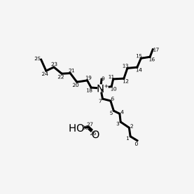 CCCCCCCC[N+](C)(CCCCCCCC)CCCCCCCC.O=CO